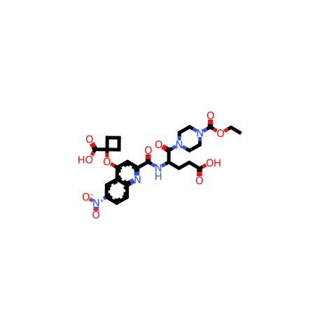 CCOC(=O)N1CCN(C(=O)C(CCC(=O)O)NC(=O)c2cc(OC3(C(=O)O)CCC3)c3cc([N+](=O)[O-])ccc3n2)CC1